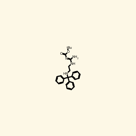 CC(C)(C)OC(=O)N=C(N)NCCNC(c1ccccc1)(c1ccccc1)c1ccccc1